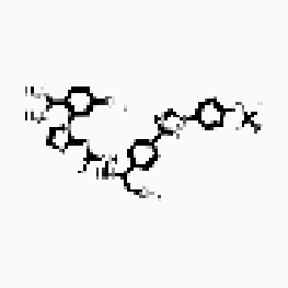 CCC(NNC(=O)/N=c1\sccn1-c1cc(C)ccc1C(C)C)c1ccc(-c2ncn(-c3ccc(OC(F)(F)F)cc3)n2)cc1